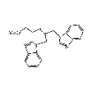 COCCCN(Cn1cnc2ccccc21)Cn1cnc2ccccc21